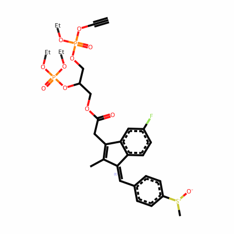 C#COP(=O)(OCC)OCC(COC(=O)CC1=C(C)/C(=C/c2ccc([S+](C)[O-])cc2)c2ccc(F)cc21)OP(=O)(OCC)OCC